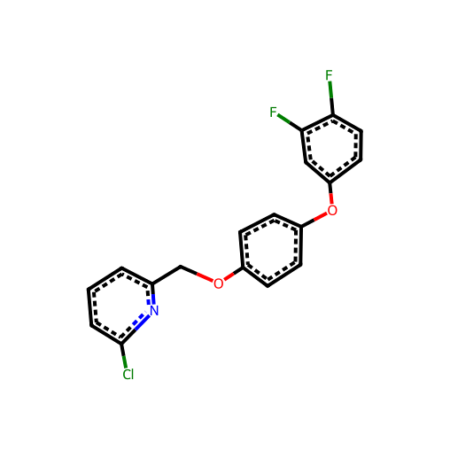 Fc1ccc(Oc2ccc(OCc3cccc(Cl)n3)cc2)cc1F